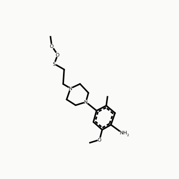 COOSCCN1CCN(c2cc(OC)c(N)cc2C)CC1